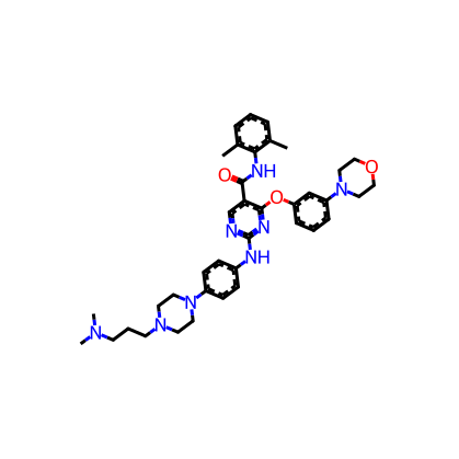 Cc1cccc(C)c1NC(=O)c1cnc(Nc2ccc(N3CCN(CCCN(C)C)CC3)cc2)nc1Oc1cccc(N2CCOCC2)c1